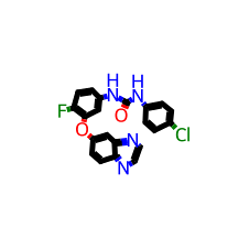 O=C(Nc1ccc(Cl)cc1)Nc1ccc(F)c(Oc2ccc3nccnc3c2)c1